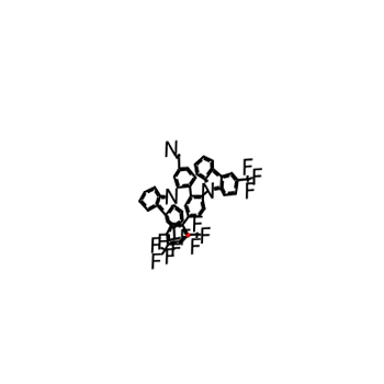 N#Cc1ccc(-c2cc(-c3ccc(C(F)(F)F)cc3C(F)(F)F)ccc2-n2c3ccccc3c3cc(C(F)(F)F)ccc32)c(-n2c3ccccc3c3cc(C(F)(F)F)ccc32)c1